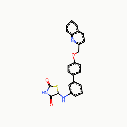 O=C1NC(=O)C(Nc2cccc(-c3ccc(OCc4ccc5ccccc5n4)cc3)c2)S1